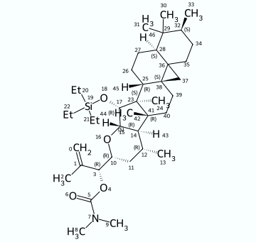 C=C(C)[C@@H](OC(=O)N(C)C)[C@H]1C[C@@H](C)[C@H]2[C@H](O1)[C@H](O[Si](CC)(CC)CC)[C@@]1(C)[C@@H]3CC[C@H]4C(C)(C)[C@@H](C)CCC45C[C@@]35CC[C@]21C